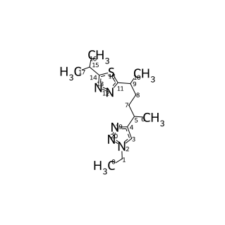 CCn1cc(C(C)CCC(C)c2nnc(C(C)C)s2)nn1